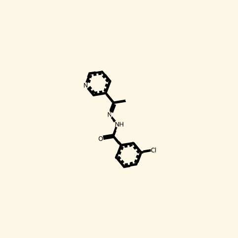 C/C(=N\NC(=O)c1cccc(Cl)c1)c1cccnc1